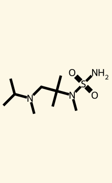 CC(C)N(C)CC(C)(C)N(C)S(N)(=O)=O